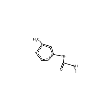 Cc1cc(NC(=O)NI)ccn1